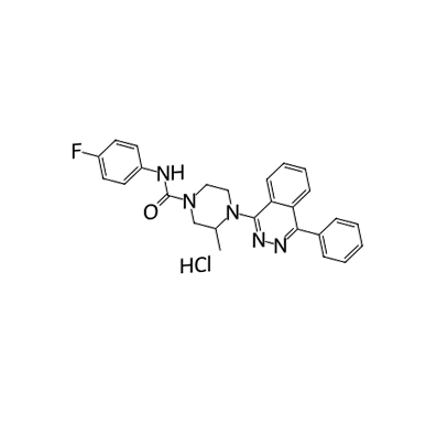 CC1CN(C(=O)Nc2ccc(F)cc2)CCN1c1nnc(-c2ccccc2)c2ccccc12.Cl